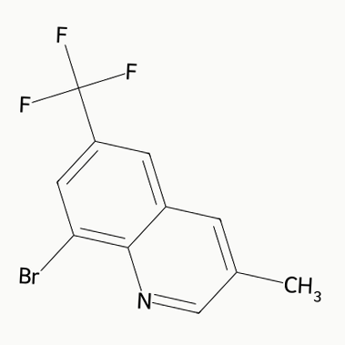 Cc1cnc2c(Br)cc(C(F)(F)F)cc2c1